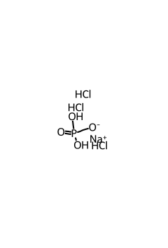 Cl.Cl.Cl.O=P([O-])(O)O.[Na+]